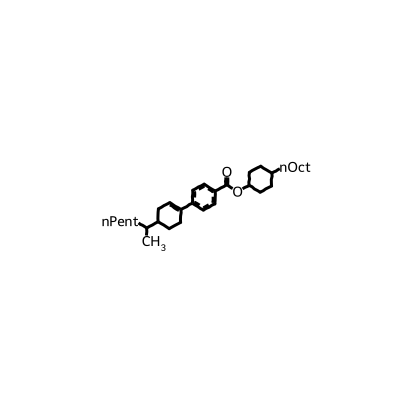 CCCCCCCCC1CCC(OC(=O)c2ccc(C3=CCC(C(C)CCCCC)CC3)cc2)CC1